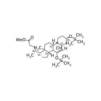 COC(=O)CC[C@@H](C)[C@H]1CC[C@H]2C3C(O[Si](C)(C)C)=C[C@@H]4C[C@H](O[Si](C)(C)C)CC[C@]4(C)[C@H]3CCC12C